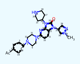 CC(=O)c1ccc(N2CCN(c3ccc4c(n3)n(C3CCNCC3)c(=O)n4-c3cnn(C)c3)CC2)cc1